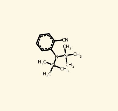 C[Si](C)(C)N(c1ccccc1C#N)[Si](C)(C)C